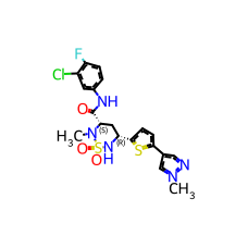 CN1[C@H](C(=O)Nc2ccc(F)c(Cl)c2)C[C@H](c2ccc(-c3cnn(C)c3)s2)NS1(=O)=O